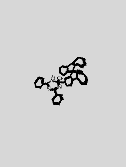 CC1(C2C=C3C(=CC2)c2ccccc2C32c3ccccc3-c3ccccc32)N=C(c2ccccc2)N=C(c2ccccc2)N1